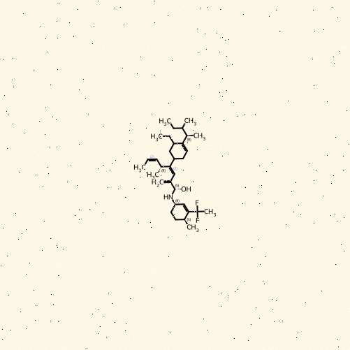 C=C(/C=C(/C1CC=C([C@H](C)C(C)CC)C(CC)C1)[C@H](C)/C=C\C)[C@H](O)N[C@H]1C=C(C(C)(F)F)[C@@H](C)CC1